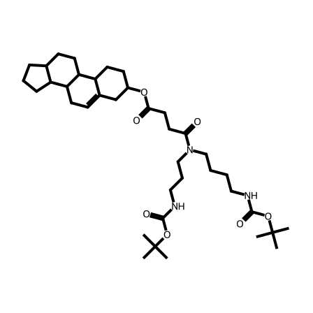 CC(C)(C)OC(=O)NCCCCN(CCCNC(=O)OC(C)(C)C)C(=O)CCC(=O)OC1CCC2C(=CCC3C4CCCC4CCC23)C1